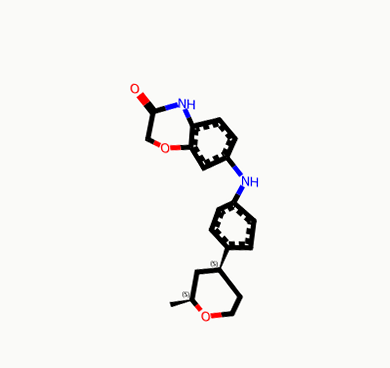 C[C@H]1C[C@@H](c2ccc(Nc3ccc4c(c3)OCC(=O)N4)cc2)CCO1